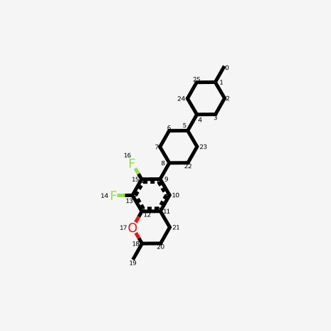 CC1CCC(C2CCC(c3cc4c(c(F)c3F)OC(C)CC4)CC2)CC1